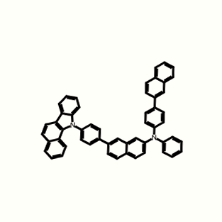 c1ccc(N(c2ccc(-c3ccc4ccccc4c3)cc2)c2ccc3ccc(-c4ccc(-n5c6ccccc6c6ccc7ccccc7c65)cc4)cc3c2)cc1